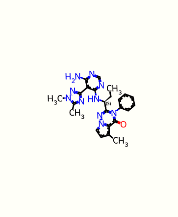 CC[C@H](Nc1ncnc(N)c1-c1nc(C)n(C)n1)c1nn2ccc(C)c2c(=O)n1-c1ccccc1